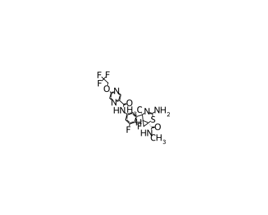 CNC(=O)[C@]12C[C@H]1[C@@](C)(c1cc(NC(=O)c3cnc(OCC(F)(F)F)cn3)cc(F)c1F)N=C(N)S2